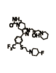 NC(=O)N1CCc2c(c(-c3ccc(C(F)(F)F)c(SCCN4CCC(F)CC4)c3)nn2C[C@H](O)CN2CCCCC2)C1